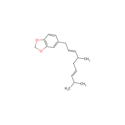 CC(C)C=CCC(C)C=CCc1ccc2c(c1)OCO2